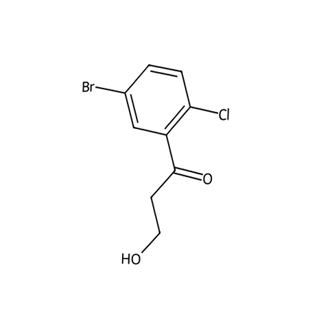 O=C(CCO)c1cc(Br)ccc1Cl